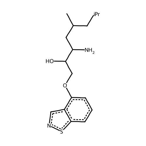 CC(C)CC(C)CC(N)C(O)COc1cccc2sncc12